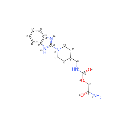 NC(=O)COC(=O)NCC1CCN(c2nc3ccccc3[nH]2)CC1